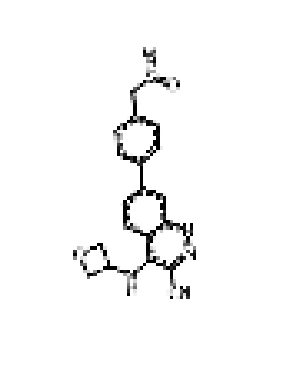 N#Cc1nnc2cc(-c3ccc(C[SH](=O)=O)cc3)ccc2c1NC1COC1